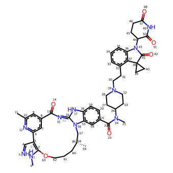 CN/C1=C(\C=N)c2cc(cc(C)n2)C(=O)/N=C2\Nc3ccc(C(=O)N(C)C4CCN(CCc5cccc6c5C5(CC5)C(=O)N6C5CCC(=O)NC5=O)CC4)cc3N2C[C@H](C)CCCO1